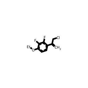 C=C(CCl)c1ccc(OCC)c(F)c1F